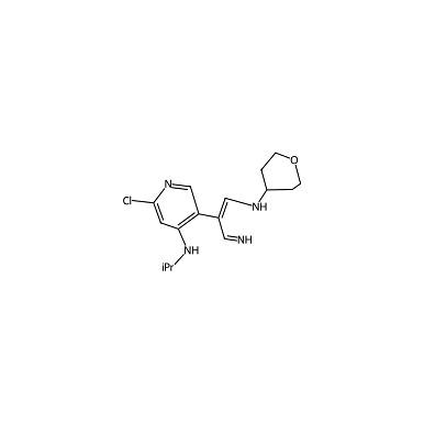 CC(C)Nc1cc(Cl)ncc1/C(C=N)=C/NC1CCOCC1